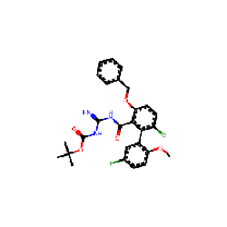 COc1ccc(F)cc1-c1c(Cl)ccc(OCc2ccccc2)c1C(=O)NC(=N)NC(=O)OC(C)(C)C